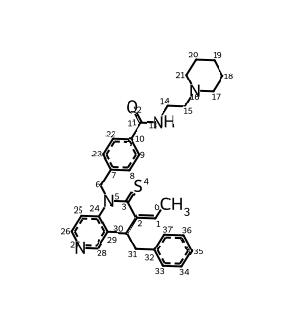 CC=C1C(=S)N(Cc2ccc(C(=O)NCCN3CCCCC3)cc2)c2ccncc2C1Cc1ccccc1